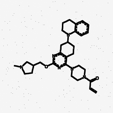 C=CC(=O)N1CCN(c2nc(OCC3CCN(C)C3)nc3c2CCC(N2CCCc4ccccc42)C3)CC1